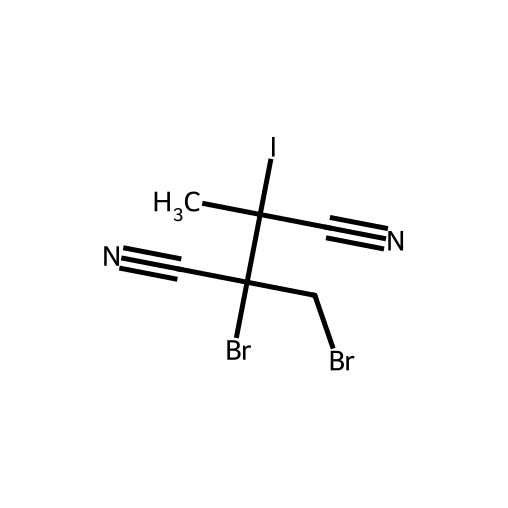 CC(I)(C#N)C(Br)(C#N)CBr